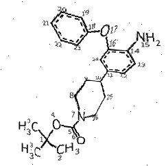 CC(C)(C)OC(=O)N1CCC(c2ccc(N)c(Oc3ccccc3)c2)CC1